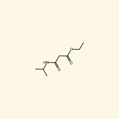 CCOC(=O)CC(=O)NC(C)C